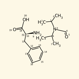 CC(C)N(C=O)C(C)C.N[C@@H](Cc1ccccc1)C(=O)O